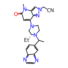 CC[C@@H]1CN(c2cc(=O)n(C)c3cn(CC#N)nc23)CCN1C(C)c1ccc2nccnc2c1